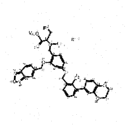 COC(=O)C(CC(C)C)N(C)Cc1ccc(OCc2cccc(-c3ccc4c(c3)OCCO4)c2C(F)(F)F)cc1OCc1ccc2nonc2c1.Cl